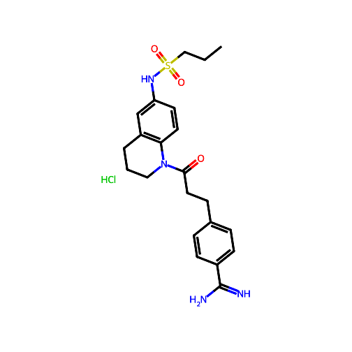 CCCS(=O)(=O)Nc1ccc2c(c1)CCCN2C(=O)CCc1ccc(C(=N)N)cc1.Cl